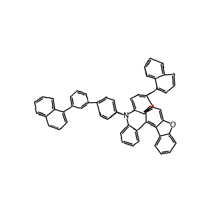 c1cc(-c2ccc(N(c3ccc(-c4cccc5ccccc45)cc3)c3ccccc3-c3cccc4oc5ccccc5c34)cc2)cc(-c2cccc3ccccc23)c1